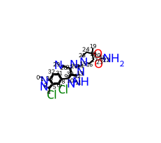 Cn1nc(Cl)c2c(Cl)c(-c3n[nH]c4nc(N5CCC(C)(OC(N)=O)CC5)nc(C#N)c34)ccc21